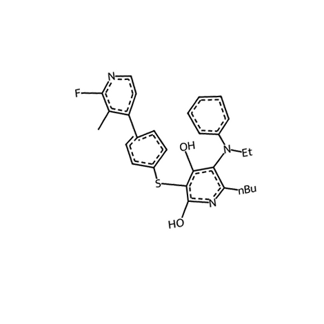 CCCCc1nc(O)c(Sc2ccc(-c3ccnc(F)c3C)cc2)c(O)c1N(CC)c1ccccc1